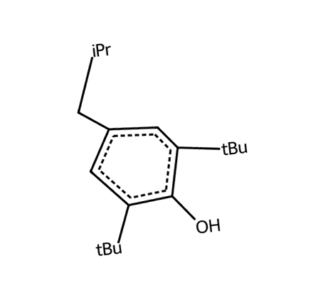 CC(C)Cc1cc(C(C)(C)C)c(O)c(C(C)(C)C)c1